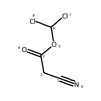 N#CCC(=O)OC(Cl)Cl